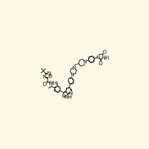 Cc1cc(-c2n[nH]c3ncc(-c4ccc(N5CCN(CC6CCN(c7ccc(N8CC(=O)NC8=O)cc7)CC6)CC5)cc4)cc23)ccc1C(C)NC(=O)c1nc(C(C)(C)C)no1